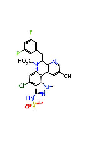 Cn1nc(NS(C)(=O)=O)c2c(Cl)ccc(-c3cc(C#N)cnc3C(Cc3cc(F)cc(F)c3)NC(=O)O)c21